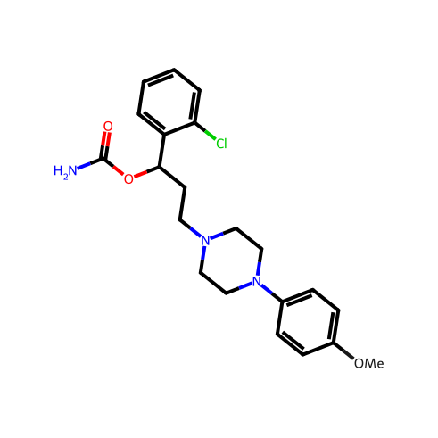 COc1ccc(N2CCN(CCC(OC(N)=O)c3ccccc3Cl)CC2)cc1